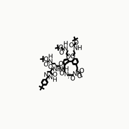 COC(=O)[C@@H]1Cc2ccc(OCCNC(=O)OC(C)(C)C)c(c2)-c2cc(ccc2OCCNC(=O)OC(C)(C)C)[C@H](N(C)C(=O)[C@H](CCNC(=O)OC(C)(C)C)NC(=O)c2cnc(-c3ccc(C(C)(C)C)cc3)nc2O)C(=O)N[C@@H](C)C(=O)N1